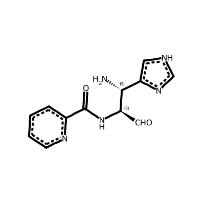 N[C@H](c1c[nH]cn1)[C@@H](C=O)NC(=O)c1ccccn1